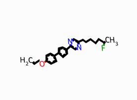 C=CCOc1ccc(-c2ccc(-c3cnc(CCCCCC(C)F)cn3)cc2)cc1